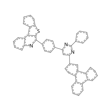 c1ccc(-c2nc(-c3ccc(-c4nc5ccccc5c5c4sc4ccccc45)cc3)cc(-c3ccc4c5ccccc5c5ccccc5c4c3)n2)cc1